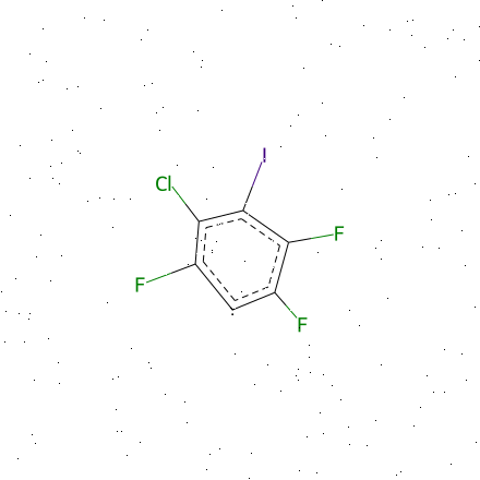 Fc1[c]c(F)c(Cl)c(I)c1F